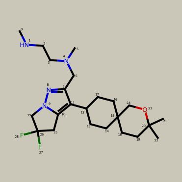 CNCCN(C)Cc1nn2c(c1C1CCC3(CC1)CCC(C)(C)OC3)CC(F)(F)C2